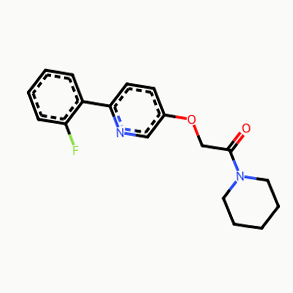 O=C(COc1ccc(-c2ccccc2F)nc1)N1CCCCC1